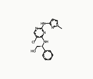 Cn1ccc(Nc2ncc(Cl)c(N[C@H](CO)c3ccccc3)n2)n1